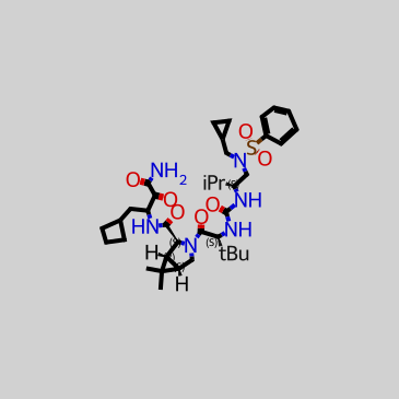 CC(C)[C@@H](CN(CC1CC1)S(=O)(=O)c1ccccc1)NC(=O)N[C@H](C(=O)N1C[C@H]2[C@@H]([C@H]1C(=O)NC(CC1CCC1)C(=O)C(N)=O)C2(C)C)C(C)(C)C